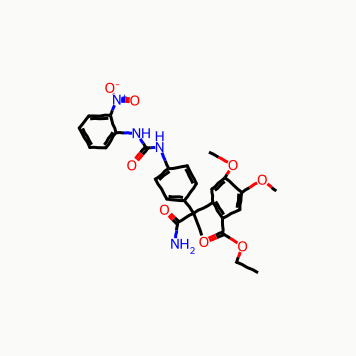 CCOC(=O)c1cc(OC)c(OC)cc1C(C)(C(N)=O)c1ccc(NC(=O)Nc2ccccc2[N+](=O)[O-])cc1